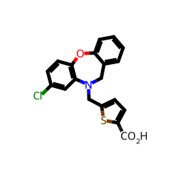 O=C(O)c1ccc(CN2Cc3ccccc3Oc3ccc(Cl)cc32)s1